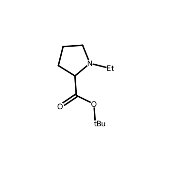 CCN1CCCC1C(=O)OC(C)(C)C